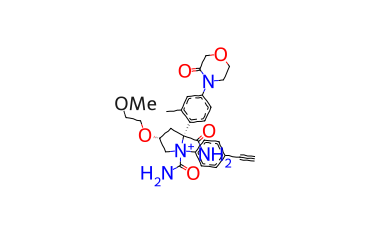 C#Cc1ccc([N+]2(C(N)=O)C[C@H](OCCOC)C[C@]2(C(N)=O)c2ccc(N3CCOCC3=O)cc2C)cc1